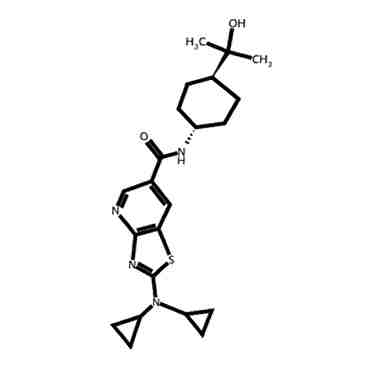 CC(C)(O)[C@H]1CC[C@H](NC(=O)c2cnc3nc(N(C4CC4)C4CC4)sc3c2)CC1